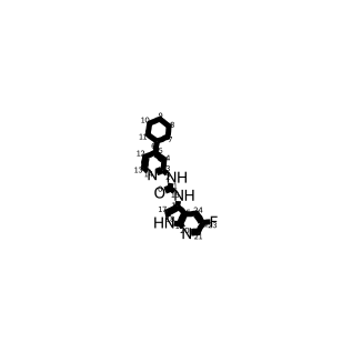 O=C(Nc1cc(C2CCCCC2)ccn1)Nc1c[nH]c2ncc(F)cc12